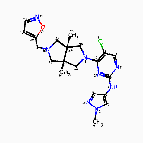 Cn1cc(Nc2ncc(Cl)c(N3C[C@]4(C)CN(Cc5ccno5)C[C@]4(C)C3)n2)cn1